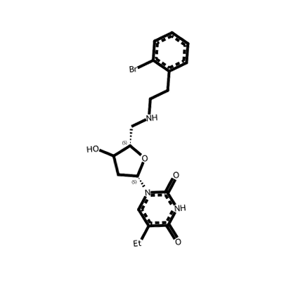 CCc1cn([C@@H]2CC(O)[C@H](CNCCc3ccccc3Br)O2)c(=O)[nH]c1=O